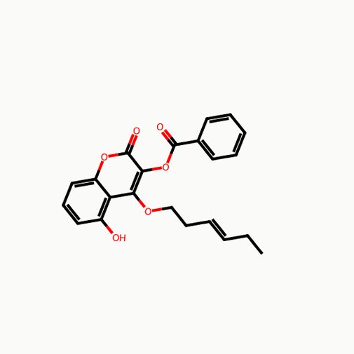 CCC=CCCOc1c(OC(=O)c2ccccc2)c(=O)oc2cccc(O)c12